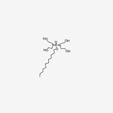 CCCCCCCCCCCCOP(=O)(N(CCO)CCO)N(CCO)CCO